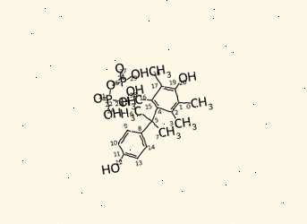 Cc1c(C)c(C(C)(C)c2ccc(O)cc2)c(C)c(C)c1O.O=P(O)(O)OP(=O)(O)O